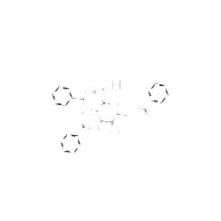 CO[C@H]1OC(COC(=O)c2ccccc2)[C@@H](O)[C@H](OC(=O)c2ccccc2)C1OC(=O)c1ccccc1